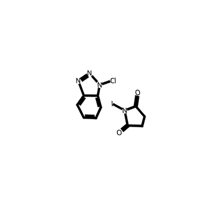 Cln1nnc2ccccc21.O=C1CCC(=O)N1I